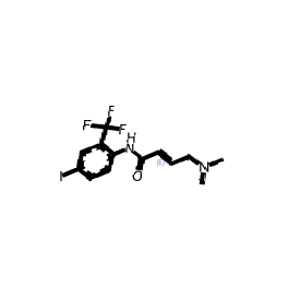 CN(C)C/C=C/C(=O)Nc1ccc(I)cc1C(F)(F)F